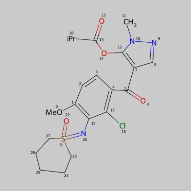 COc1ccc(C(=O)c2cnn(C)c2OC(=O)C(C)C)c(Cl)c1N=S1(=O)CCCCC1